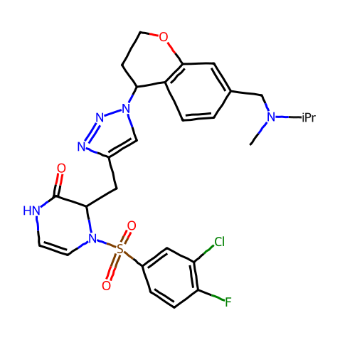 CC(C)N(C)Cc1ccc2c(c1)OCCC2n1cc(CC2C(=O)NC=CN2S(=O)(=O)c2ccc(F)c(Cl)c2)nn1